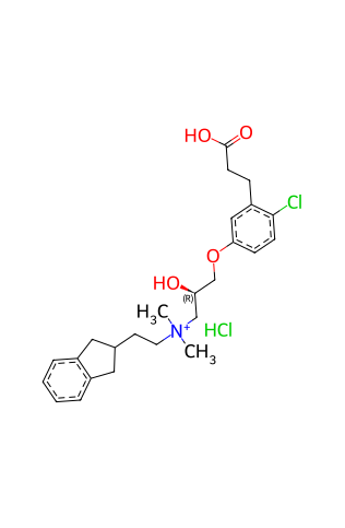 C[N+](C)(CCC1Cc2ccccc2C1)C[C@@H](O)COc1ccc(Cl)c(CCC(=O)O)c1.Cl